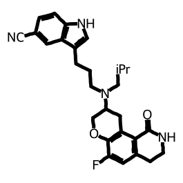 CC(C)CN(CCCc1c[nH]c2ccc(C#N)cc12)C1COc2c(F)cc3c(c2C1)C(=O)NCC3